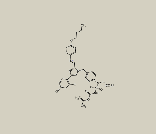 C=C(C)OC(=O)NS(=O)(=O)N(CC(=O)O)c1ccc(Cn2cc(-c3ccc(Cl)cc3Cl)nc2/C=C/c2ccc(OCCCC(F)(F)F)cc2)cc1